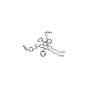 CCCCCCCCCCCCCCON(c1ccccc1)c1cc(C(=O)Oc2ccc(N=[N+]=[N-])cc2)cc(N(OCCCCCCCCCCCCCC)c2ccccc2)c1N(OCCCCCCCCCCCCCC)c1ccccc1